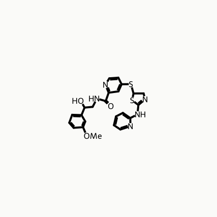 COc1cccc(C(O)CNC(=O)c2cc(SC3CN=C(Nc4ccccn4)S3)ccn2)c1